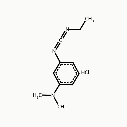 CCN=C=Nc1cccc(N(C)C)c1.Cl